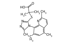 Cc1ccc2c(C)cc(C)c(-n3c(C)nnc3SC(C)(C)C(=O)O)c2n1